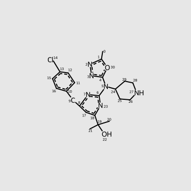 Cc1nnc(N(c2nc(Cc3ccc(Cl)cc3)cc(C(C)(C)O)n2)C2CCNCC2)o1